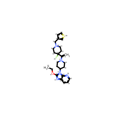 C=C(N1CCC(n2c(OCC)nc3cccnc32)CC1)C1(F)CCN(Cc2ccsc2)CC1